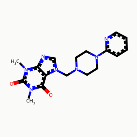 Cn1c(=O)c2c(ncn2CN2CCN(c3ccccn3)CC2)n(C)c1=O